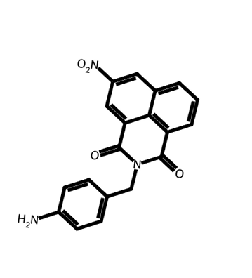 Nc1ccc(CN2C(=O)c3cccc4cc([N+](=O)[O-])cc(c34)C2=O)cc1